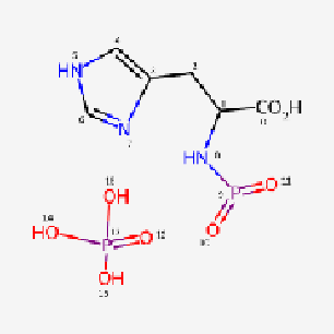 O=C(O)C(Cc1c[nH]cn1)NP(=O)=O.O=P(O)(O)O